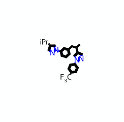 CC(C)c1cnn(-c2cccc(CC(C)c3cnn(-c4ccc(C(F)(F)F)cc4)c3)c2)c1